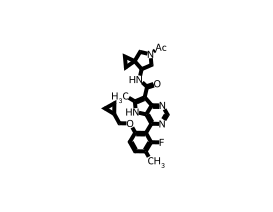 CC(=O)N1CC(NC(=O)c2c(C)[nH]c3c(-c4c(OCC5CC5)ccc(C)c4F)ncnc23)C2(CC2)C1